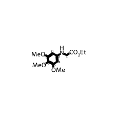 CCOC(=O)CNc1cc(OC)c(OC)c(OC)c1